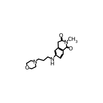 CN1C(=O)Cc2cc(NCCCN3CCOCC3)ccc2C1=O